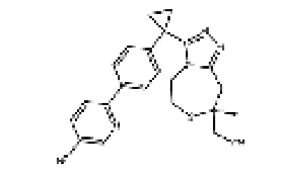 C[C@]1(CO)Cc2nnc(C3(c4ccc(-c5ccc(C#N)cn5)cc4)CC3)n2CCS1